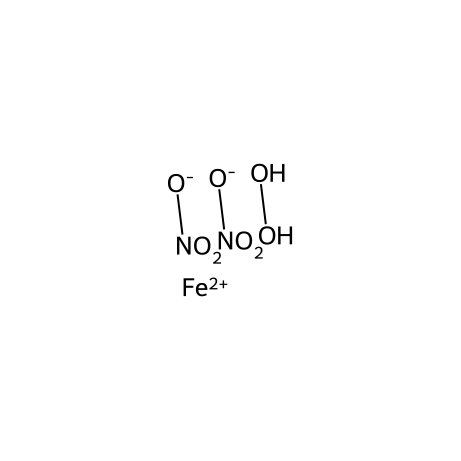 O=[N+]([O-])[O-].O=[N+]([O-])[O-].OO.[Fe+2]